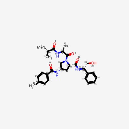 CN[C@@H](C)C(=O)N[C@H](C(=O)N1C[C@@H](NC(=O)c2ccc(C)cc2)C[C@H]1C(=O)N[C@H](CO)c1ccccc1)C(C)(C)C